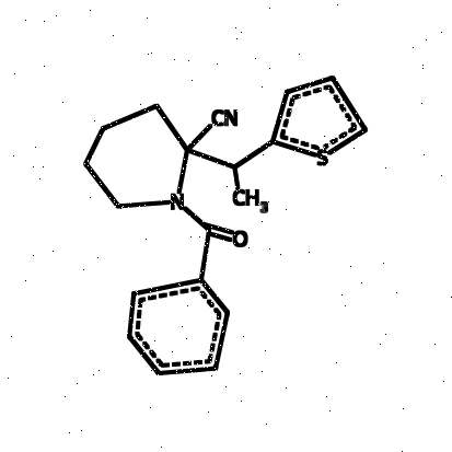 CC(c1cccs1)C1(C#N)CCCCN1C(=O)c1ccccc1